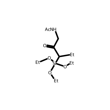 CCO[Si](OCC)(OCC)C(CC)C(=O)CNC(C)=O